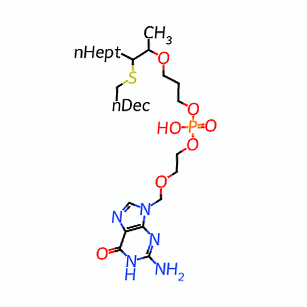 CCCCCCCCCCCSC(CCCCCCC)C(C)OCCCOP(=O)(O)OCCOCn1cnc2c(=O)[nH]c(N)nc21